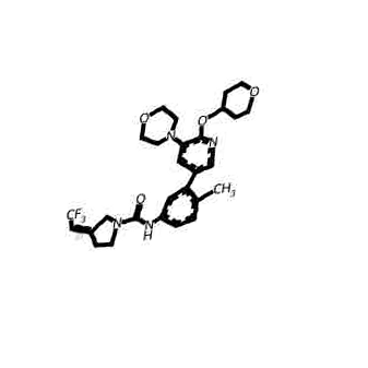 Cc1ccc(NC(=O)N2CC/C(=C/C(F)(F)F)C2)cc1-c1cnc(OC2CCOCC2)c(N2CCOCC2)c1